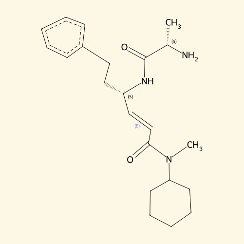 C[C@H](N)C(=O)N[C@H](/C=C/C(=O)N(C)C1CCCCC1)CCc1ccccc1